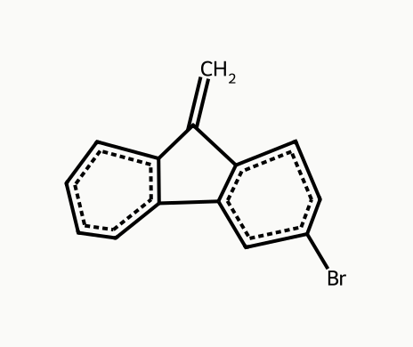 C=C1c2ccccc2-c2cc(Br)ccc21